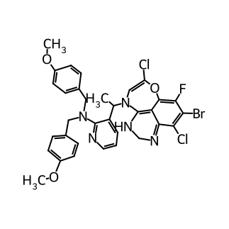 COc1ccc(CN(Cc2ccc(OC)cc2)c2ncccc2C(C)N2C=C(Cl)Oc3c(F)c(Br)c(Cl)c4c3=C2NCN=4)cc1